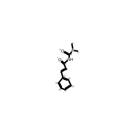 CN(C)C(=O)NC(=O)C=Cc1ccccc1